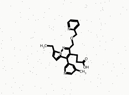 CCc1ccc2c(-c3cncc(C)c3)c(CCC(=O)O)c(COCc3ccccn3)nn12